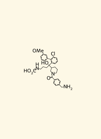 COc1cccc(-c2c(Cl)cccc2C(O)(CCCNC(=O)O)C2CCCN(C(=O)c3ccc(CN)cc3)C2)c1